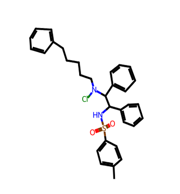 Cc1ccc(S(=O)(=O)NC(c2ccccc2)C(c2ccccc2)N(Cl)CCCCCc2ccccc2)cc1